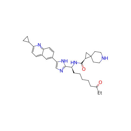 CCC(=O)CCCCC[C@H](NC(=O)[C@H]1CC12CCNCC2)c1ncc(-c2ccc3nc(C4CC4)ccc3c2)[nH]1